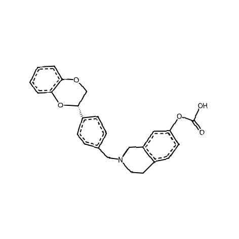 O=C(O)Oc1ccc2c(c1)CN(Cc1ccc([C@H]3COc4ccccc4O3)cc1)CC2